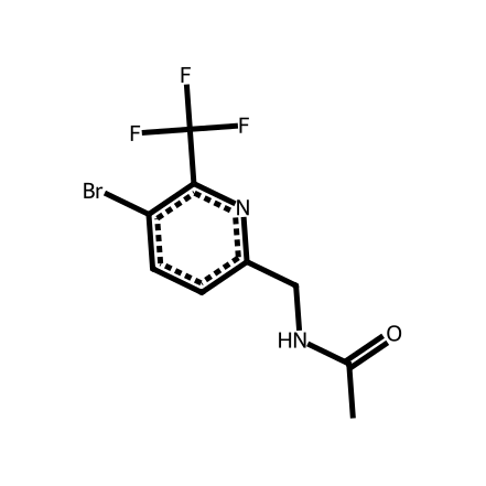 CC(=O)NCc1ccc(Br)c(C(F)(F)F)n1